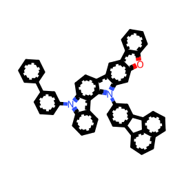 c1ccc(-c2cccc(-n3c4ccccc4c4c3ccc3c5cc6c(cc5n(-c5ccc7c(c5)-c5cccc8cccc-7c58)c34)oc3ccccc36)c2)cc1